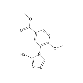 COC(=O)c1ccc(OC)c(-n2cnnc2S)c1